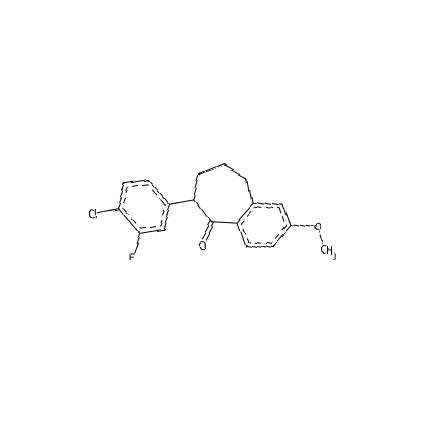 COc1ccc2c(c1)CCCC(c1ccc(Cl)c(F)c1)C2=O